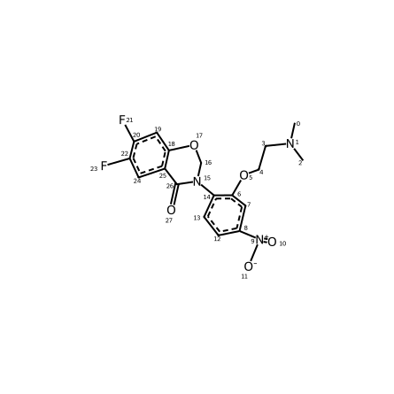 CN(C)CCOc1cc([N+](=O)[O-])ccc1N1COc2cc(F)c(F)cc2C1=O